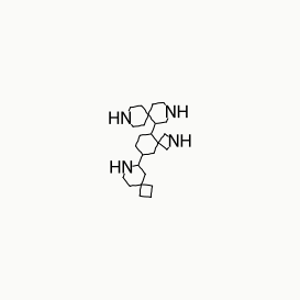 C1CC2(C1)CCNC(C1CCC(C3CNCCC34CCNCC4)C3(CNC3)C1)C2